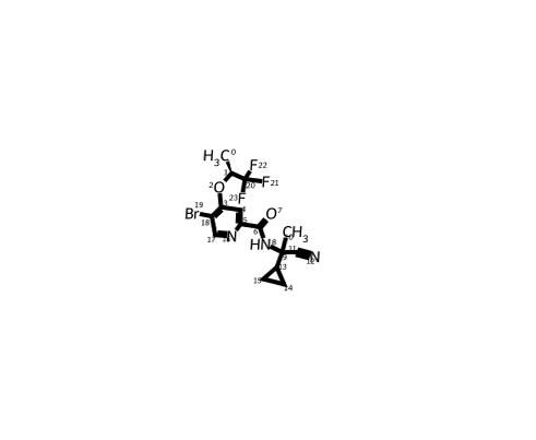 C[C@H](Oc1cc(C(=O)NC(C)(C#N)C2CC2)ncc1Br)C(F)(F)F